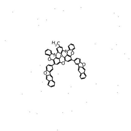 Cc1cc2c3c(c1)n1c4ccccc4oc4c(-c5ccc6oc7cc8ccccc8cc7c6c5)cc5oc6cc(-c7ccc8oc9cc%10ccccc%10cc9c8c7)c7oc8ccccc8n2c7c6p3c5c41